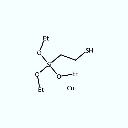 CCO[Si](CCS)(OCC)OCC.[Cu]